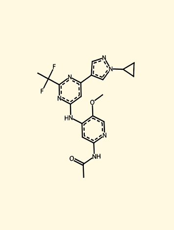 COc1cnc(NC(C)=O)cc1Nc1cc(-c2cnn(C3CC3)c2)nc(C(C)(F)F)n1